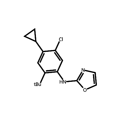 CC(C)(C)c1cc(C2CC2)c(Cl)cc1Nc1ncco1